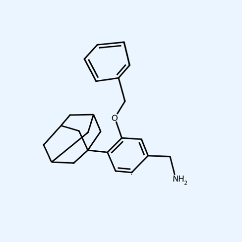 NCc1[c]cc(C23CC4CC(CC(C4)C2)C3)c(OCc2ccccc2)c1